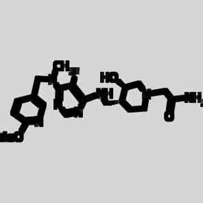 COc1ccc(CN(C)c2ncnc(NC[C@H]3CCN(CC(N)=O)C[C@@H]3O)c2F)cn1